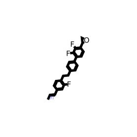 C/C=C/c1ccc(CCc2ccc(-c3ccc(C4CO4)c(F)c3F)cc2)c(F)c1